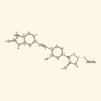 CC(=O)NC[C@H]1CN(c2ccc(C#Cc3ccc4[nH]c(=O)sc4c3)c(F)c2)C(=O)O1